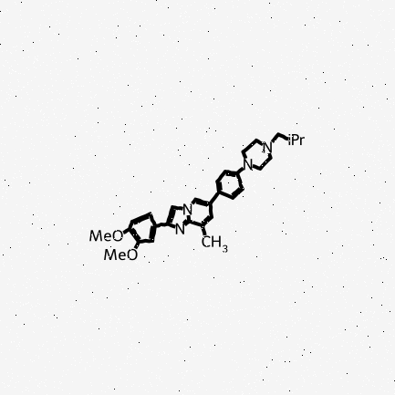 COc1ccc(-c2cn3cc(-c4ccc(N5CCN(CC(C)C)CC5)cc4)cc(C)c3n2)cc1OC